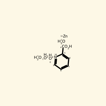 O.O.O.O.O=C(O)c1ccccn1.[Zn]